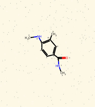 CNC(=O)c1ccc(NC)c(C)c1